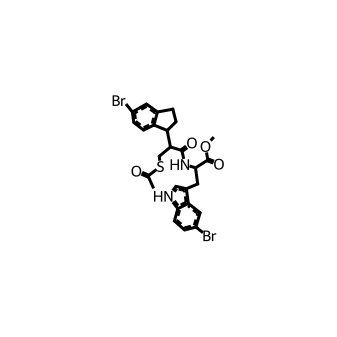 COC(=O)C(Cc1c[nH]c2ccc(Br)cc12)NC(=O)C(CSC(C)=O)C1CCc2cc(Br)ccc21